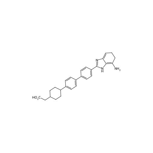 NC1=c2[nH]c(-c3ccc(-c4ccc(C5CCC(CC(=O)O)CC5)cc4)cc3)nc2=CCC1